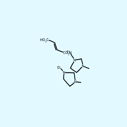 CCN1CCN(C)C1.CCN1CCN(C)C1.O=C(O)C=CC(=O)O